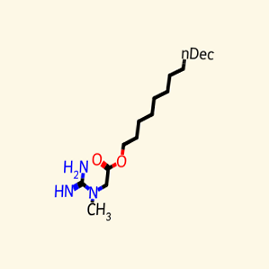 CCCCCCCCCCCCCCCCCCOC(=O)CN(C)C(=N)N